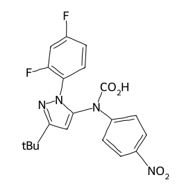 CC(C)(C)c1cc(N(C(=O)O)c2ccc([N+](=O)[O-])cc2)n(-c2ccc(F)cc2F)n1